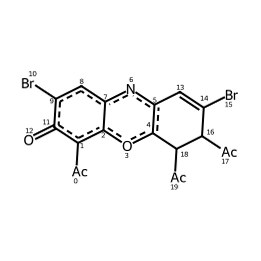 CC(=O)c1c2oc3c(nc-2cc(Br)c1=O)C=C(Br)C(C(C)=O)C3C(C)=O